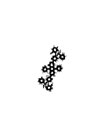 Cc1cccc2nc(-c3ccccc3)n(-c3ccc(-c4ccc5c(-c6ccccc6)c6cc(-c7ccc(-n8c(-c9ccccc9)nc9cccc(C)c98)cc7)ccc6c(-c6ccccc6)c5c4)cc3)c12